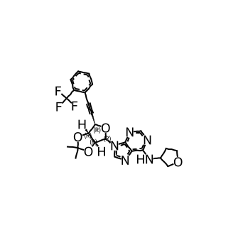 CC1(C)O[C@@H]2[C@H](O1)[C@@H](C#Cc1ccccc1C(F)(F)F)O[C@H]2n1cnc2c(NC3CCOC3)ncnc21